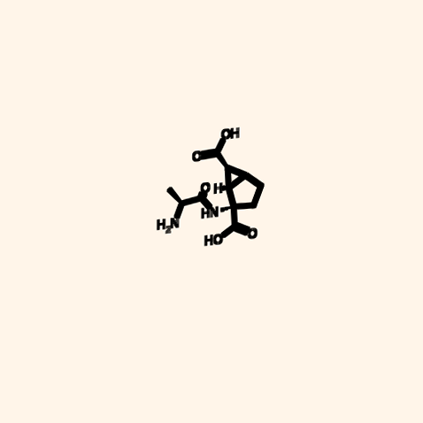 C[C@H](N)C(=O)N[C@@]1(C(=O)O)CCC2[C@H](C(=O)O)[C@H]21